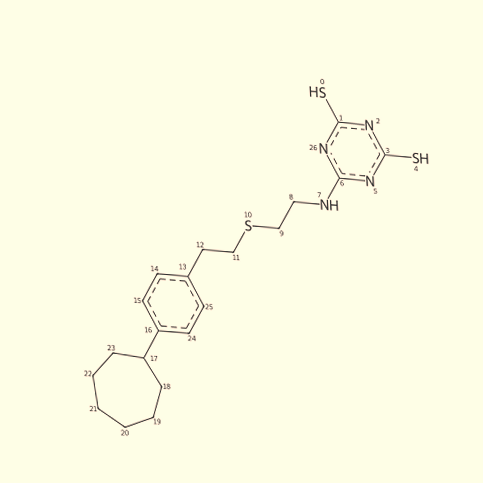 Sc1nc(S)nc(NCCSCCc2ccc(C3CCCCCC3)cc2)n1